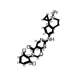 CC(C)N1CCc2cc(Nc3ncc4c(n3)OCN(c3c(Cl)cccc3Cl)C4=O)ccc2C12CC2